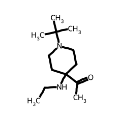 CCNC1(C(C)=O)CCN(C(C)(C)C)CC1